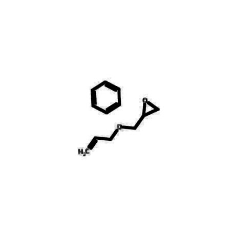 C=CCOCC1CO1.c1ccccc1